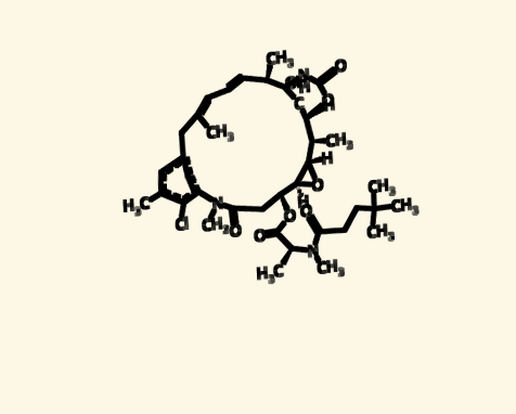 C/C1=C\C=C\[C@@H](C)[C@@]2(O)C[C@H](OC(=O)N2)[C@@H](C)[C@@H]2O[C@H]2[C@@H](OC(=O)[C@H](C)N(C)C(=O)CCC(C)(C)C)CC(=O)N(C)c2cc(cc(C)c2Cl)C1